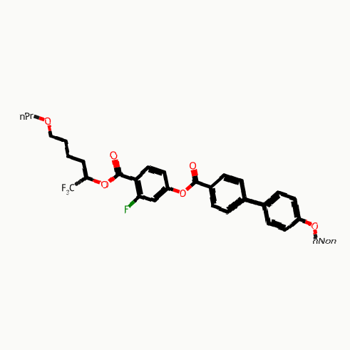 CCCCCCCCCOc1ccc(-c2ccc(C(=O)Oc3ccc(C(=O)OC(CCCCOCCC)C(F)(F)F)c(F)c3)cc2)cc1